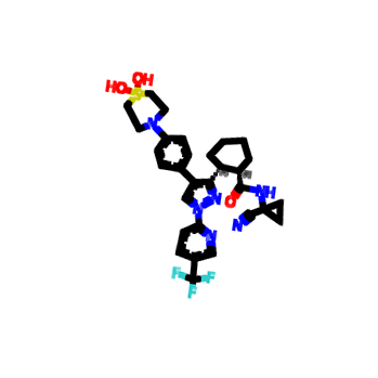 N#CC1(NC(=O)[C@@H]2CCCC[C@H]2c2nn(-c3ccc(C(F)(F)F)cn3)cc2-c2ccc(N3CCS(O)(O)CC3)cc2)CC1